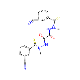 CN(NC(=O)C(=O)NN(C)C(=S)c1cccc(C#N)c1)C(=S)c1cccc(C#N)c1